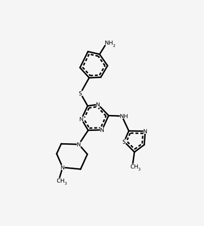 Cc1cnc(Nc2nc(Sc3ccc(N)cc3)nc(N3CCN(C)CC3)n2)s1